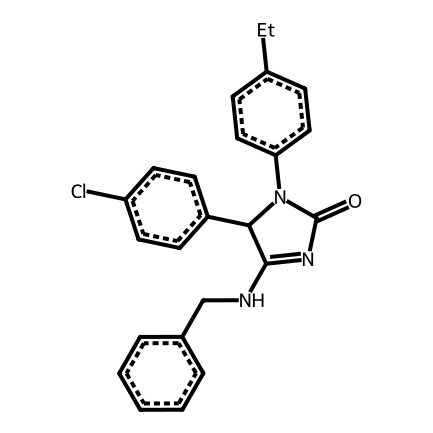 CCc1ccc(N2C(=O)N=C(NCc3ccccc3)C2c2ccc(Cl)cc2)cc1